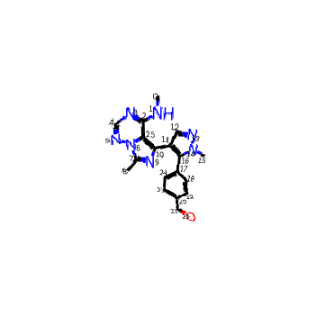 CNc1ncnn2c(C)nc(-c3cnn(C)c3-c3ccc(C=O)cc3)c12